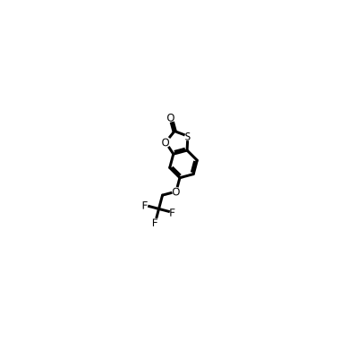 O=c1oc2cc(OCC(F)(F)F)ccc2s1